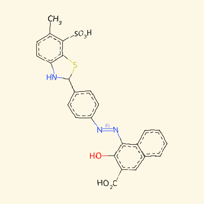 Cc1ccc2c(c1S(=O)(=O)O)SC(c1ccc(/N=N/c3c(O)c(C(=O)O)cc4ccccc34)cc1)N2